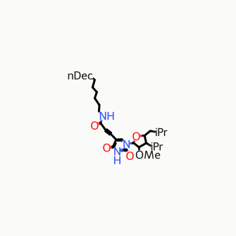 CCCCCCCCCCCCCCCCNC(=O)C#Cc1cn(C2OC(CC(C)C)C(C(C)C)C2OC)c(=O)[nH]c1=O